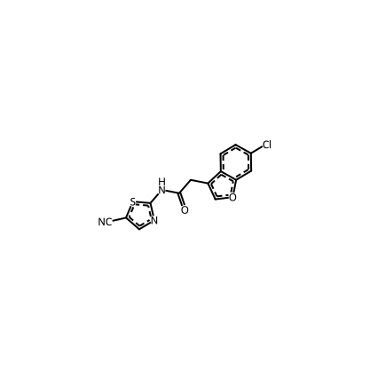 N#Cc1cnc(NC(=O)Cc2coc3cc(Cl)ccc23)s1